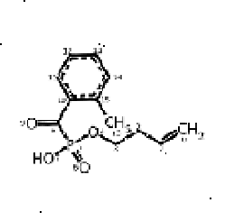 C=CCCOP(=O)(O)C(=O)c1ccccc1C